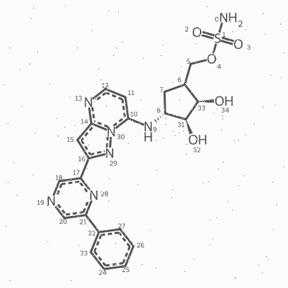 NS(=O)(=O)OCC1C[C@@H](Nc2ccnc3cc(-c4cncc(-c5ccccc5)n4)nn23)[C@H](O)[C@@H]1O